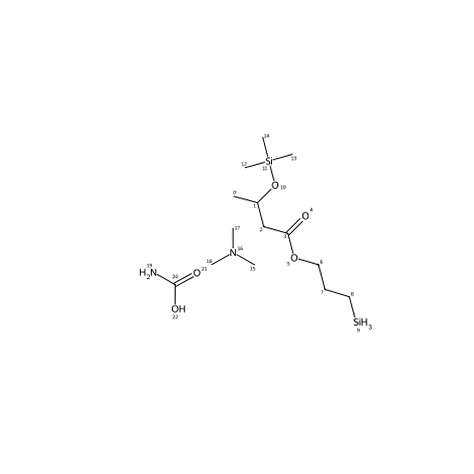 CC(CC(=O)OCCC[SiH3])O[Si](C)(C)C.CN(C)C.NC(=O)O